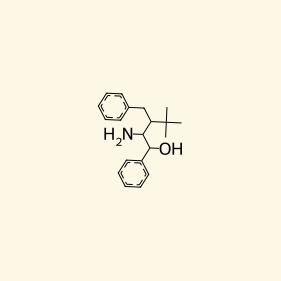 CC(C)(C)C(Cc1ccccc1)C(N)C(O)c1ccccc1